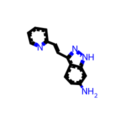 Nc1ccc2c(C=Cc3ccccn3)n[nH]c2c1